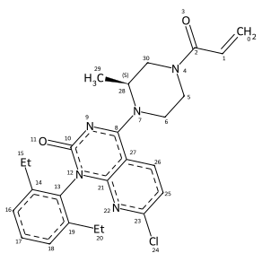 C=CC(=O)N1CCN(c2nc(=O)n(-c3c(CC)cccc3CC)c3nc(Cl)ccc23)[C@@H](C)C1